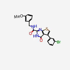 COc1cccc(CNC(=O)c2nc3scc(-c4cccc(Br)c4)c3c(=O)[nH]2)c1